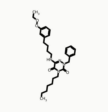 CCCCCCCn1c(=O)c(NCCCCc2cccc(OOCC)c2)nn(Cc2ccccc2)c1=O